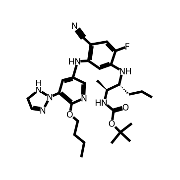 CCCCOc1ncc(Nc2cc(N[C@H](CCC)[C@H](C)NC(=O)OC(C)(C)C)c(F)cc2C#N)cc1N1N=CCN1